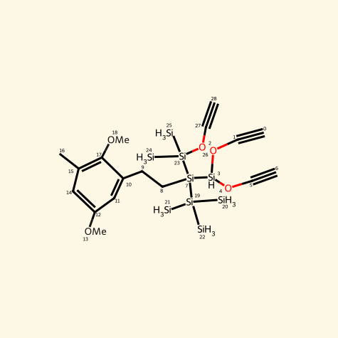 C#CO[SiH](OC#C)[Si](CCc1cc(OC)cc(C)c1OC)([Si]([SiH3])([SiH3])[SiH3])[Si]([SiH3])([SiH3])OC#C